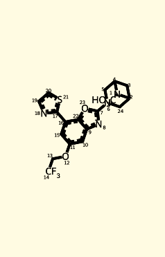 O=C(O)N1C2CC1CN(c1nc3cc(OCC(F)(F)F)cc(-c4nccs4)c3o1)C2